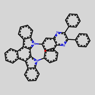 c1ccc(-c2nc3ccc(-n4c5ccccc5c5c6ccccc6c6c7ccccc7n(-c7ccccc7)c6c54)cc3nc2-c2ccccc2)cc1